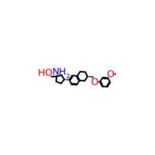 COc1cccc(OC[C@@H]2CCc3cc([C@H]4CC[C@@](N)(CO)C4)ccc3C2)c1